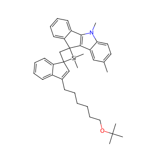 Cc1ccc2c(c1)c1c(n2C)-c2ccccc2C12CC1(C=C(CCCCCCOC(C)(C)C)c3ccccc31)[Si]2(C)C